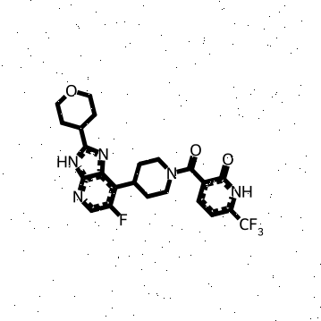 O=C(c1ccc(C(F)(F)F)[nH]c1=O)N1CCC(c2c(F)cnc3[nH]c(C4CCOCC4)nc23)CC1